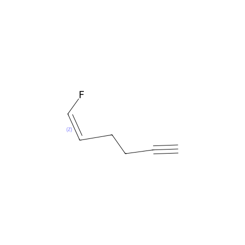 C#CCC/C=C\F